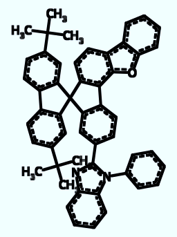 CC(C)(C)c1ccc2c(c1)C1(c3cc(C(C)(C)C)ccc3-2)c2cc(-c3nc4ccccc4n3-c3ccccc3)ccc2-c2c1ccc1c2oc2ccccc21